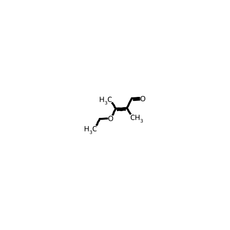 CCO/C(C)=C(\C)C=O